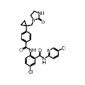 O=C(Nc1ccc(Cl)cc1C(=O)Nc1ccc(Cl)cn1)c1ccc(C2(CN3CCNC3=O)CC2)cc1